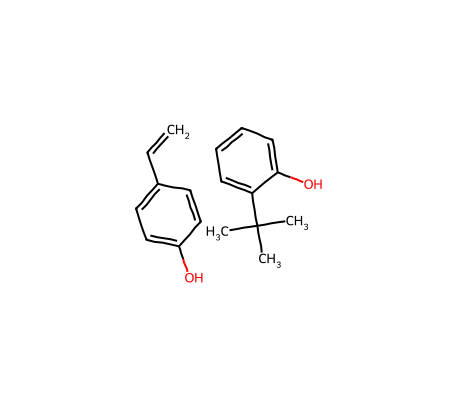 C=Cc1ccc(O)cc1.CC(C)(C)c1ccccc1O